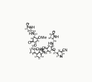 COc1cc(OCc2cccc(-c3cccc4c3cnn4Cc3cc(OCc4cncc(C#N)c4)c(CNCC4CCC(=O)N4)cc3Cl)c2C)c(Cl)cc1CNCC1CCC(=O)N1